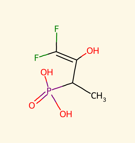 CC(C(O)=C(F)F)P(=O)(O)O